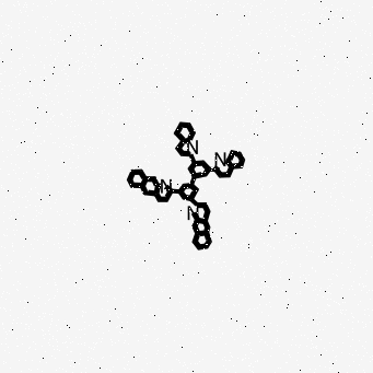 c1ccc2cc3nc(-c4cc(-c5cc(-c6ccc7ccccc7n6)cc(-c6ccc7ccccc7n6)c5)cc(-c5ccc6cc7ccccc7cc6n5)c4)ccc3cc2c1